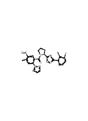 COc1cc(C(=O)N2CCCC2c2nc(-c3cccc(Cl)c3C)no2)c(-n2nccn2)cc1C